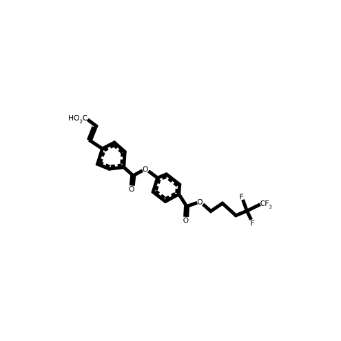 O=C(O)C=Cc1ccc(C(=O)Oc2ccc(C(=O)OCCCC(F)(F)C(F)(F)F)cc2)cc1